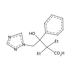 CCC(CC)(C(=O)O)C(O)(Cn1cncn1)c1ccccc1